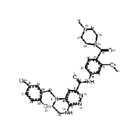 COc1cc(NC(=O)c2cc3c(nn2)NCCN3Cc2cc(Cl)ccc2Cl)ccc1C(=O)N1CCN(C)CC1